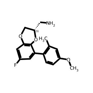 COc1ccc(-c2cc(F)cc3c2O[C@@H](CN)CO3)c(C)c1